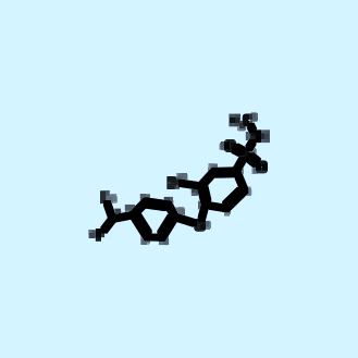 CNS(=O)(=O)c1ccc(Oc2ccc(C(F)F)cc2)c(Br)c1